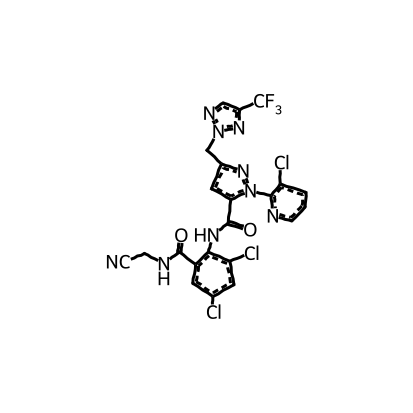 N#CCNC(=O)c1cc(Cl)cc(Cl)c1NC(=O)c1cc(Cn2ncc(C(F)(F)F)n2)nn1-c1ncccc1Cl